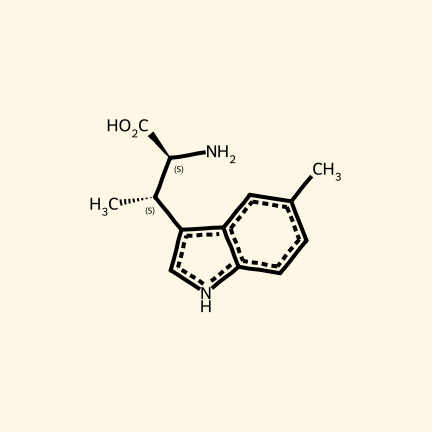 Cc1ccc2[nH]cc([C@H](C)[C@H](N)C(=O)O)c2c1